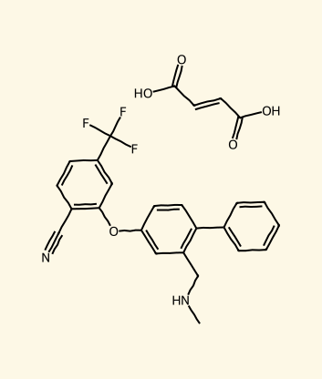 CNCc1cc(Oc2cc(C(F)(F)F)ccc2C#N)ccc1-c1ccccc1.O=C(O)C=CC(=O)O